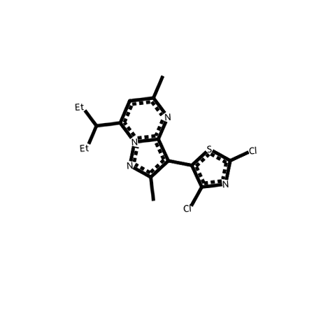 CCC(CC)c1cc(C)nc2c(-c3sc(Cl)nc3Cl)c(C)nn12